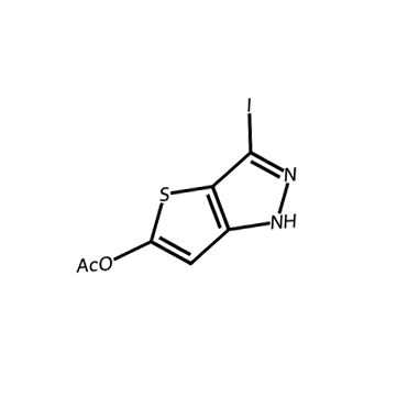 CC(=O)Oc1cc2[nH]nc(I)c2s1